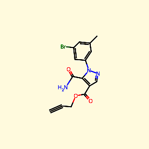 C#CCOC(=O)c1cnn(-c2cc(C)cc(Br)c2)c1C(N)=O